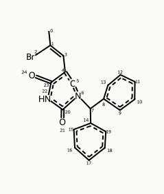 C/C(Br)=C/c1cn(C(c2ccccc2)c2ccccc2)c(=O)[nH]c1=O